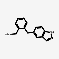 CNCc1ccccc1Cc1ccc2[nH]ncc2c1